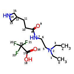 CCN(CC)CCNC(=O)CCC1CNC1.O=C(O)C(F)(F)F